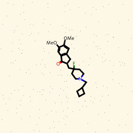 COc1cc2c(cc1OC)C(=O)C(CC1(F)CCN(CC3CCC3)CC1)C2